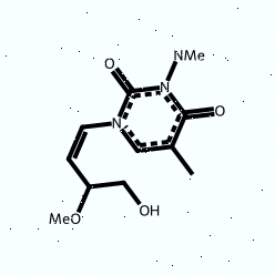 CNn1c(=O)c(C)cn(/C=C\C(CO)OC)c1=O